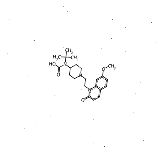 COc1ccc2ccc(=O)n(CCN3CCC(N(C(=O)O)C(C)(C)C)CC3)c2c1